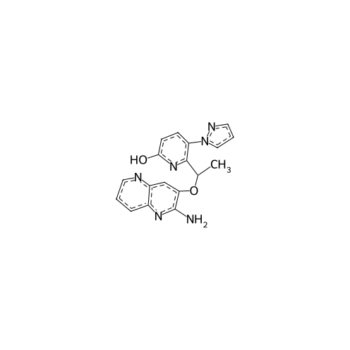 CC(Oc1cc2ncccc2nc1N)c1nc(O)ccc1-n1cccn1